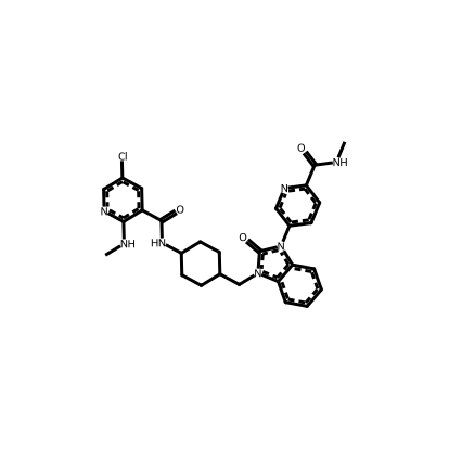 CNC(=O)c1ccc(-n2c(=O)n(CC3CCC(NC(=O)c4cc(Cl)cnc4NC)CC3)c3ccccc32)cn1